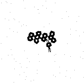 N#Cc1ccc(N(c2ccc(C3=c4ccccc4=C(c4cccc5ccccc45)C4C=CC=CC34)c3ccccc23)c2cc3ccccc3c3ccccc23)cc1